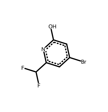 Oc1cc(Br)cc(C(F)F)n1